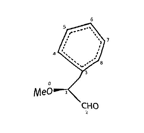 CO[C@H](C=O)c1ccccc1